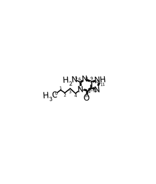 CCCCCn1c(N)nc2[nH]cnc2c1=O